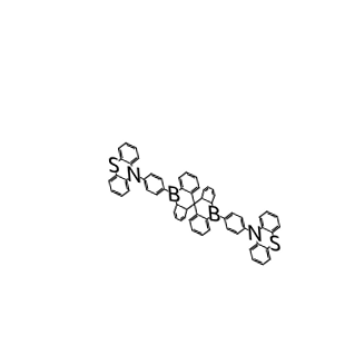 C1=CC2B(c3ccc(N4c5ccccc5Sc5ccccc54)cc3)c3ccccc3C3(c4ccccc4B(c4ccc(N5c6ccccc6Sc6ccccc65)cc4)C4C=CC=CC43)C2C=C1